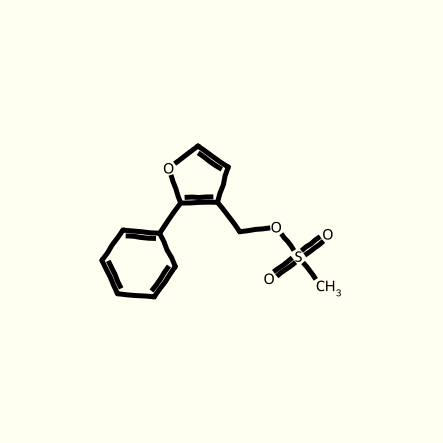 CS(=O)(=O)OCc1ccoc1-c1ccccc1